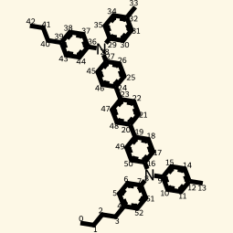 CCCCc1ccc(N(c2ccc(C)cc2)c2ccc(-c3ccc(-c4ccc(N(c5ccc(C)cc5)c5ccc(CCC)cc5)cc4)cc3)cc2)cc1